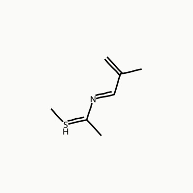 C=C(C)C=N/C(C)=[SH]\C